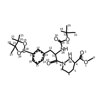 COC(=O)C1CCCN(C(=O)C(Cc2cccc(B3OC(C)(C)C(C)(C)O3)c2)NC(=O)OC(C)(C)C)N1